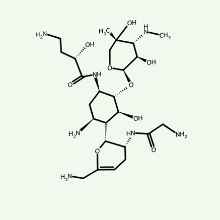 CN[C@@H]1[C@@H](O)[C@@H](O[C@H]2[C@H](NC(=O)[C@@H](O)CCN)C[C@H](N)C([C@H]3OC(CN)=CC[C@H]3NC(=O)CN)[C@@H]2O)OC[C@]1(C)O